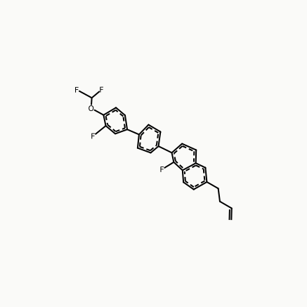 C=CCCc1ccc2c(F)c(-c3ccc(-c4ccc(OC(F)F)c(F)c4)cc3)ccc2c1